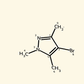 [CH2]c1nn(C)c(C)c1Br